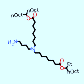 CCCCCCCCC(CC)OC(=O)CCCCCCCN(CCCCN)CCCCCCCC(=O)OC(CCCCCCCC)CCCCCCCC